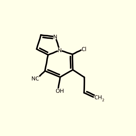 C=CCc1c(O)c(C#N)c2ccnn2c1Cl